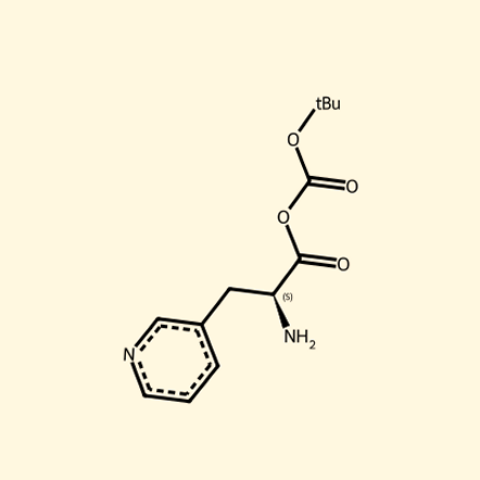 CC(C)(C)OC(=O)OC(=O)[C@@H](N)Cc1cccnc1